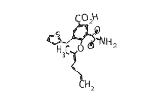 C=C/C=C\C=C(/C)Oc1c(Cc2cccs2)cc(C(=O)O)cc1S(N)(=O)=O